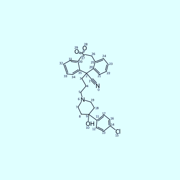 N#CC1(CCCN2CCC(O)(c3ccc(Cl)cc3)CC2)c2ccccc2CS(=O)(=O)c2ccccc21